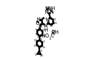 Cc1noc(-c2ccc(-c3ccc(C4CC4)cc3)cc2)c1Nc1cccc(-c2nn[nH]n2)n1.O=C(O)O